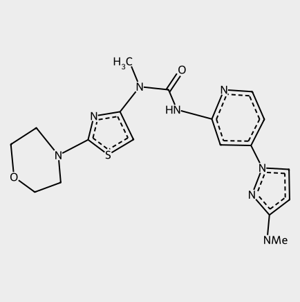 CNc1ccn(-c2ccnc(NC(=O)N(C)c3csc(N4CCOCC4)n3)c2)n1